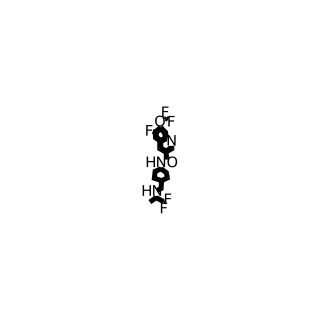 CC(NCC1CCC(NC(=O)c2cnc3cc(OC(F)F)c(F)cc3c2)CC1)C(F)F